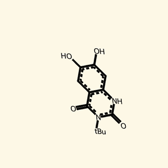 CC(C)(C)n1c(=O)[nH]c2cc(O)c(O)cc2c1=O